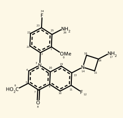 COc1c(-n2cc(C(=O)O)c(=O)c3cc(F)c(N4CC(N)C4)cc32)ccc(F)c1N